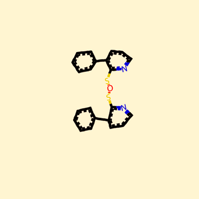 c1ccc(-c2cccnc2SOSc2ncccc2-c2ccccc2)cc1